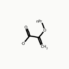 C=C(OCCC)C([O])=O